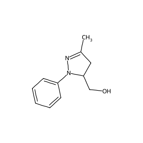 CC1=NN(c2ccccc2)C(CO)C1